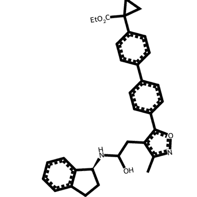 CCOC(=O)C1(c2ccc(-c3ccc(-c4onc(C)c4CC(O)N[C@H]4CCc5ccccc54)cc3)cc2)CC1